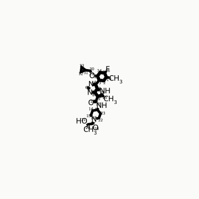 Cc1cc(-c2ncnc3c(C(=O)NC4CCN(C(=O)[C@H](C)O)CC4)c(C)[nH]c23)c(OCC2CC2)cc1F